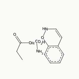 C1=Cc2ccccc2ON1.CCC(=O)O.NC(=O)O